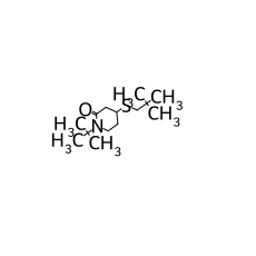 CC(C)(C)CSC1CCN(C(C)(C)C)C(=O)C1